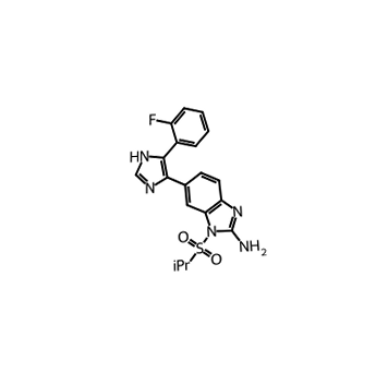 CC(C)S(=O)(=O)n1c(N)nc2ccc(-c3nc[nH]c3-c3ccccc3F)cc21